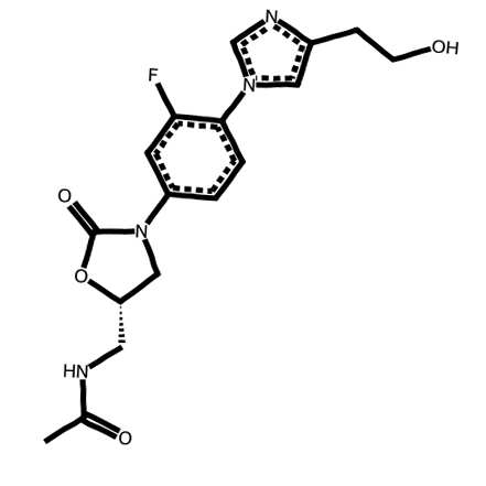 CC(=O)NC[C@H]1CN(c2ccc(-n3cnc(CCO)c3)c(F)c2)C(=O)O1